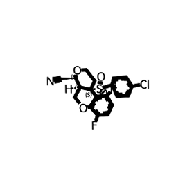 N#C[C@H]1OCC[C@@]2(S(=O)(=O)c3ccc(Cl)cc3)c3c(F)ccc(F)c3OC[C@@H]12